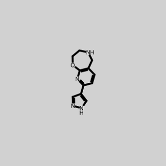 c1n[nH]cc1-c1ccc2c(n1)OCCNC2